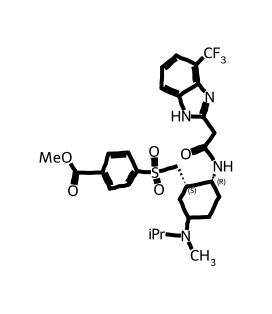 COC(=O)c1ccc(S(=O)(=O)C[C@H]2CC(N(C)C(C)C)CC[C@H]2NC(=O)Cc2nc3c(C(F)(F)F)cccc3[nH]2)cc1